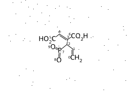 C=CC(C(=CC(=O)O)C(=O)O)P(=O)=O